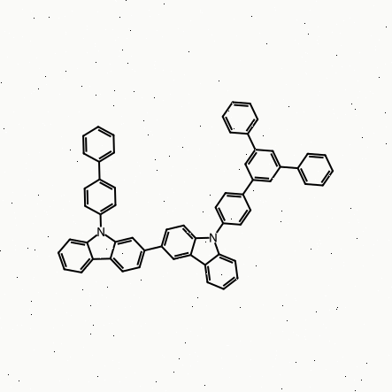 c1ccc(-c2ccc(-n3c4ccccc4c4ccc(-c5ccc6c(c5)c5ccccc5n6-c5ccc(-c6cc(-c7ccccc7)cc(-c7ccccc7)c6)cc5)cc43)cc2)cc1